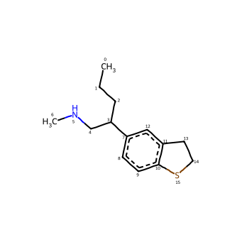 CCCC(CNC)c1ccc2c(c1)CCS2